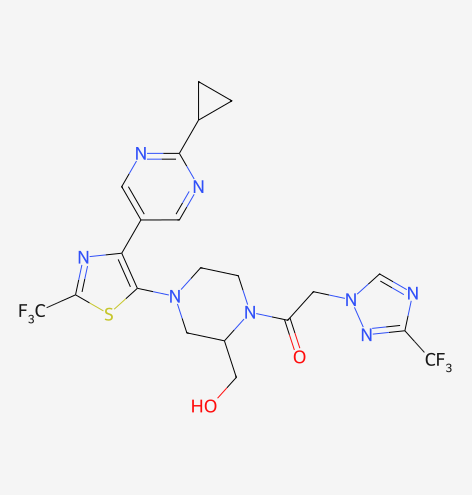 O=C(Cn1cnc(C(F)(F)F)n1)N1CCN(c2sc(C(F)(F)F)nc2-c2cnc(C3CC3)nc2)CC1CO